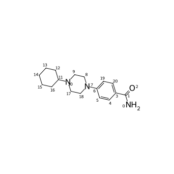 NC(=O)c1ccc(N2CCN(C3CCCCC3)CC2)cc1